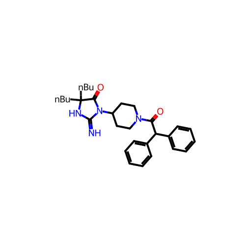 CCCCC1(CCCC)NC(=N)N(C2CCN(C(=O)C(c3ccccc3)c3ccccc3)CC2)C1=O